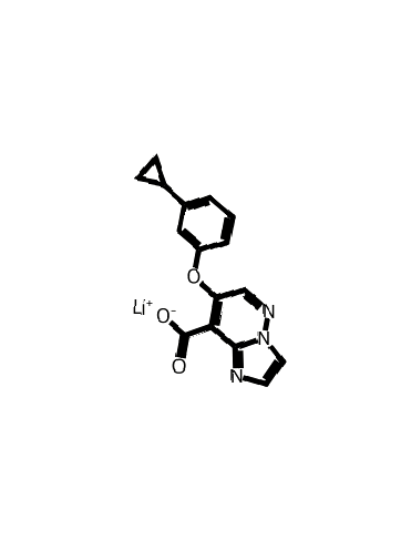 O=C([O-])c1c(Oc2cccc(C3CC3)c2)cnn2ccnc12.[Li+]